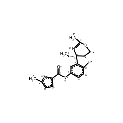 CC[C@@]1(c2cc(NC(=O)c3ccc(C)s3)ccc2F)CCOC(N)=N1